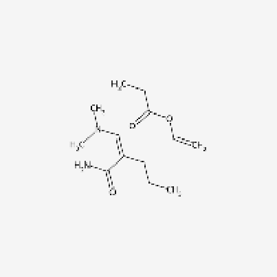 C=COC(=O)CC.CCCC(=CN(C)C)C(N)=O